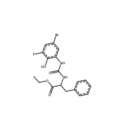 CCOC(=O)C(Cc1ccccc1)NC(=O)Nc1cc(Br)cc(F)c1O